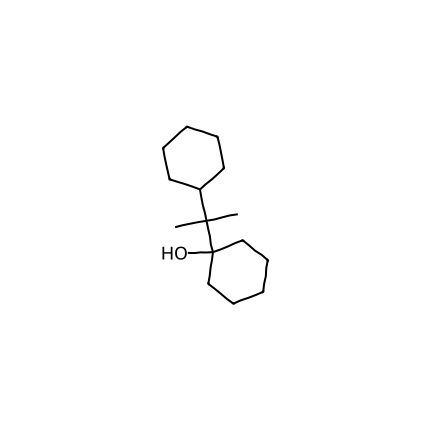 CC(C)(C1CCCCC1)C1(O)CCCCC1